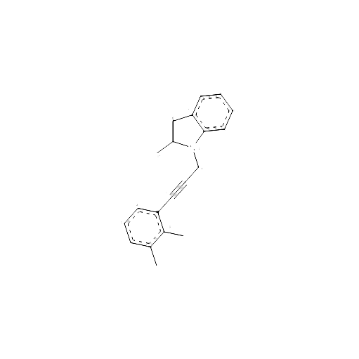 Cc1cccc(C#CCN2c3ccccc3CC2C)c1C